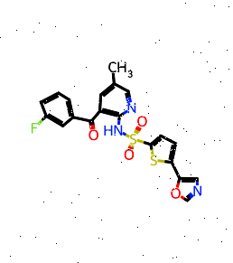 Cc1cnc(NS(=O)(=O)c2ccc(-c3cnco3)s2)c(C(=O)c2cccc(F)c2)c1